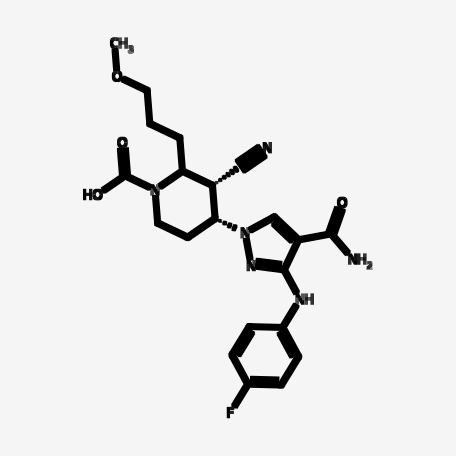 COCCCC1[C@H](C#N)[C@H](n2cc(C(N)=O)c(Nc3ccc(F)cc3)n2)CCN1C(=O)O